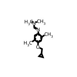 Cc1cc(OCC2CC2)c(C)cc1N=CN(C)C